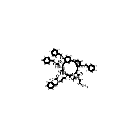 CCN1C(=O)[C@H](CCCN(Cc2ccccc2)C(=O)O)NC(=O)[C@@H](NC(=O)OCc2ccccc2)Cc2cc(ccc2OCc2ccccc2)-c2ccc(OCc3ccccc3)c(c2)C[C@H]1C(=O)NCCN